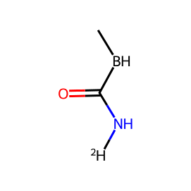 [2H]NC(=O)BC